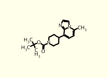 Cc1ccc(C2CCN(C(=O)OC(C)(C)C)CC2)c2nccn12